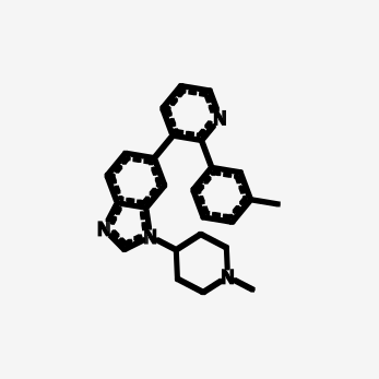 Cc1cccc(-c2ncccc2-c2ccc3ncn(C4CCN(C)CC4)c3c2)c1